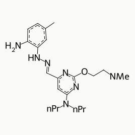 CCCN(CCC)c1cc(/C=N/Nc2cc(C)ccc2N)nc(OCCNC)n1